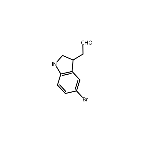 O=CCC1CNc2ccc(Br)cc21